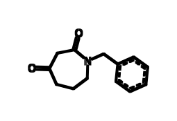 O=C1CCCN(Cc2ccccc2)C(=O)C1